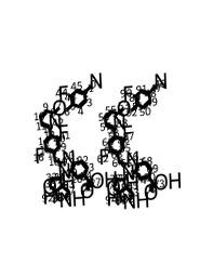 N#Cc1ccc(COc2cccc(-c3cc(F)c(Cc4nc5ccc(C(=O)O)cc5n4[C@@H]4CO[C@@H]5CNC[C@H]45)cc3F)n2)c(F)c1.N#Cc1ccc(COc2cccc(-c3cc(F)c(Cc4nc5ccc(C(=O)O)cc5n4[C@@H]4CO[C@@H]5CNC[C@H]45)cc3F)n2)c(F)c1